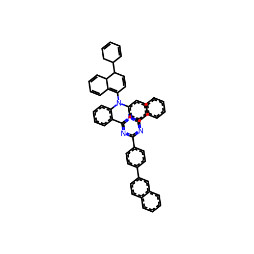 C1=CCC(C2C=CC(N(c3ccccc3)c3ccccc3-c3nc(-c4ccccc4)nc(-c4ccc(-c5ccc6ccccc6c5)cc4)n3)=C3C=CC=CC32)C=C1